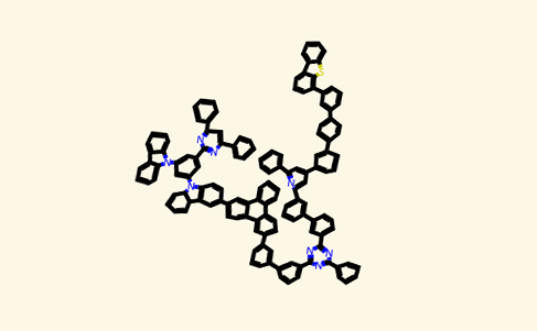 C1=CC2c3cc(-c4ccc5c6cc(-c7cccc(-c8cccc(-c9nc(-c%10ccccc%10)nc(-c%10cccc(-c%11cccc(-c%12cc(-c%13cccc(-c%14ccc(-c%15cccc(-c%16cccc%17c%16sc%16ccccc%16%17)c%15)cc%14)c%13)cc(-c%13ccccc%13)n%12)c%11)c%10)n9)c8)c7)ccc6c6ccccc6c5c4)ccc3N(c3cc(-c4nc(-c5ccccc5)cc(-c5ccccc5)n4)cc(-n4c5ccccc5c5ccccc54)c3)C2C=C1